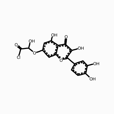 O=C(Cl)C(O)Oc1cc(O)c2c(=O)c(O)c(-c3ccc(O)c(O)c3)oc2c1